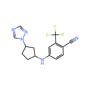 N#Cc1ccc(NC2CCC(n3cncn3)C2)cc1C(F)(F)F